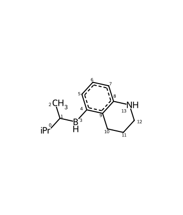 CC(C)C(C)Bc1cccc2c1CCCN2